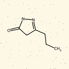 CCCC1=N[N]C(=O)C1